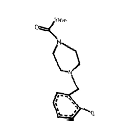 CSC(=O)N1CCN(Cc2ccccc2Cl)CC1